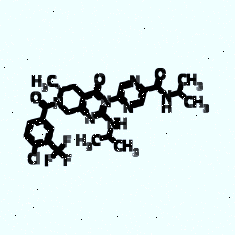 CC(C)NC(=O)c1cnc(-n2c(NC(C)C)nc3c(c2=O)C[C@@H](C)N(C(=O)c2ccc(Cl)c(C(F)(F)F)c2)C3)cn1